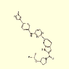 O=C(c1cc2ccc(-c3nccc(Nc4ccc(-c5cn[nH]c5)cc4)n3)cc2[nH]1)N1CCC(OC(F)F)C1